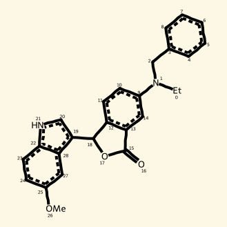 CCN(Cc1ccccc1)c1ccc2c(c1)C(=O)OC2c1c[nH]c2ccc(OC)cc12